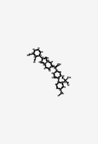 COc1ccc(-c2ccc(C(=O)n3cc4nc(-c5cccc(F)c5F)nc-4cn3)cn2)c(C(F)(F)F)c1